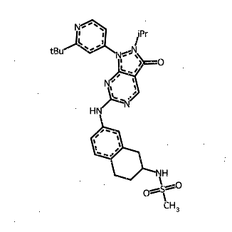 CC(C)n1c(=O)c2cnc(Nc3ccc4c(c3)CC(NS(C)(=O)=O)CC4)nc2n1-c1ccnc(C(C)(C)C)c1